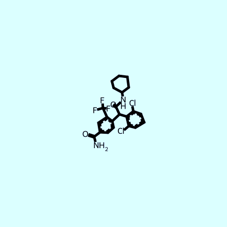 NC(=O)c1ccc(C(C(=O)NC2CCCCC2)c2c(Cl)cccc2Cl)c(C(F)(F)F)c1